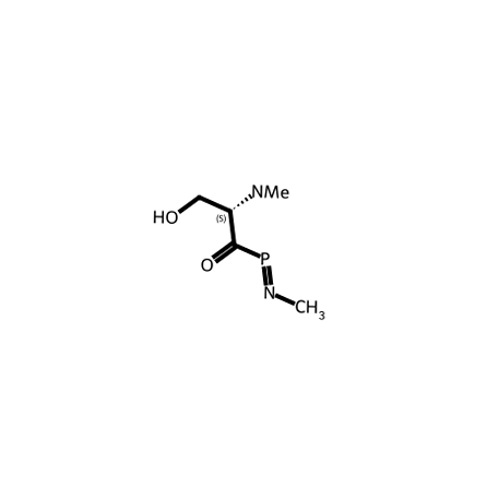 CN=PC(=O)[C@H](CO)NC